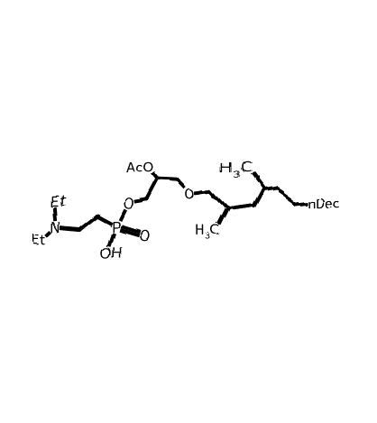 CCCCCCCCCCCCC(C)CC(C)COCC(COP(=O)(O)CCN(CC)CC)OC(C)=O